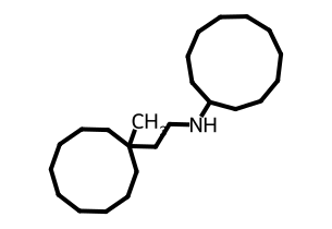 CC1(CCNC2CCCCCCCCCC2)CCCCCCCCC1